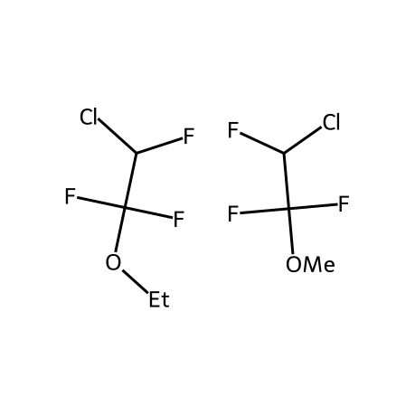 CCOC(F)(F)C(F)Cl.COC(F)(F)C(F)Cl